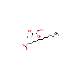 CC(O)C(O)CO.CCCCCCCCCCCC(=O)O